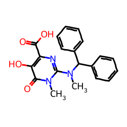 CN(c1nc(C(=O)O)c(O)c(=O)n1C)C(c1ccccc1)c1ccccc1